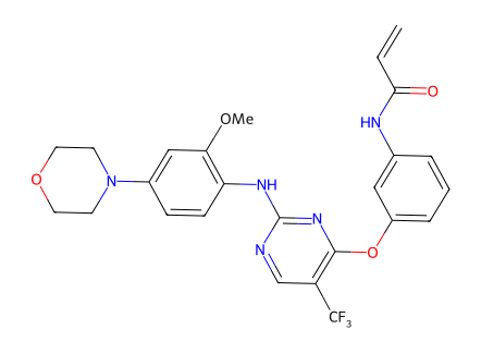 C=CC(=O)Nc1cccc(Oc2nc(Nc3ccc(N4CCOCC4)cc3OC)ncc2C(F)(F)F)c1